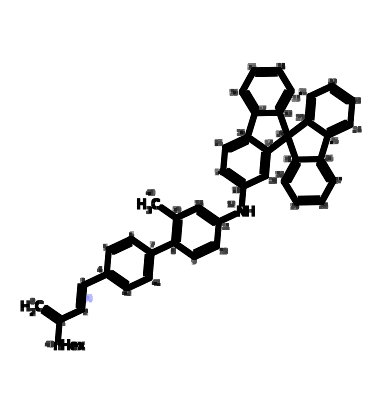 C=C(/C=C/c1ccc(-c2ccc(Nc3ccc4c(c3)C3(c5ccccc5-c5ccccc53)c3ccccc3-4)cc2C)cc1)CCCCCC